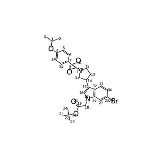 CC(C)Oc1ccc(S(=O)(=O)N2CCC(c3cn(CC(=O)OC(C)(C)C)c4cc(Br)ccc34)C2)cc1